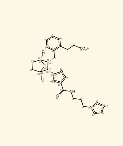 O=C(O)CCc1ccccc1C[C@@H]1[C@H](c2nc(C(=O)NCCCn3ccnc3)co2)[C@H]2CC[C@@H]1O2